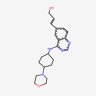 OC/C=C/c1ccc2ncnc(NC3CCC(N4CCOCC4)CC3)c2c1